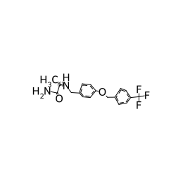 C[C@H](NCc1ccc(OCc2ccc(C(F)(F)F)cc2)cc1)C(N)=O